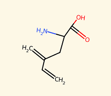 C=CC(=C)CC(N)C(=O)O